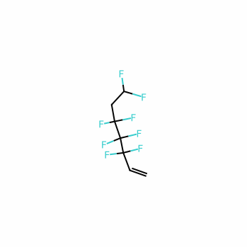 C=CC(F)(F)C(F)(F)C(F)(F)CC(F)F